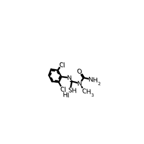 CN(C(N)=O)C(S)=Nc1c(Cl)cccc1Cl.I